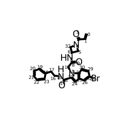 C=CC(=O)N1CC(NC(=O)Cn2c(C(=O)NCCc3ccccc3)cc3cc(Br)ccc32)C1